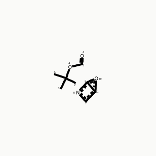 CC(C)(C)OC=O.c1nc2oc1-2